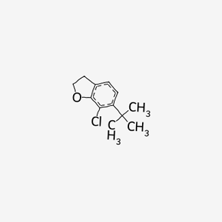 CC(C)(C)c1ccc2c(c1Cl)OCC2